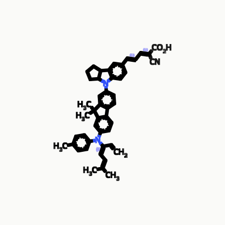 C=C/C(=C\C=C(C)C)N(c1ccc(C)cc1)c1ccc2c(c1)C(C)(C)c1cc(N3c4ccc(/C=C/C=C(\C#N)C(=O)O)cc4C4CCCC43)ccc1-2